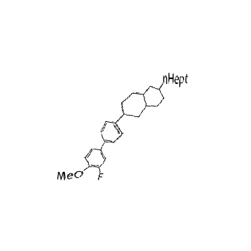 CCCCCCCC1CCC2CC(c3ccc(-c4ccc(OC)c(F)c4)cc3)CCC2C1